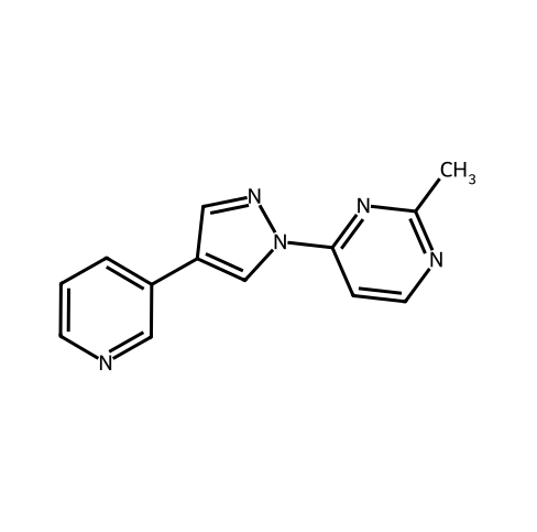 Cc1nccc(-n2cc(-c3cccnc3)cn2)n1